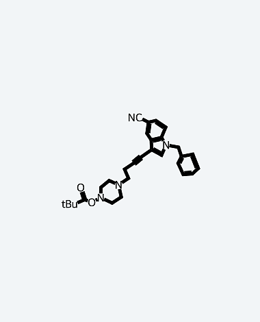 CC(C)(C)C(=O)ON1CCN(CCC#Cc2cn(Cc3ccccc3)c3ccc(C#N)cc23)CC1